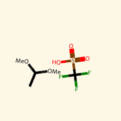 COC(C)OC.O=S(=O)(O)C(F)(F)F